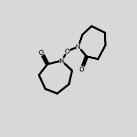 O=C1CCCCCN1ON1CCCCCC1=O